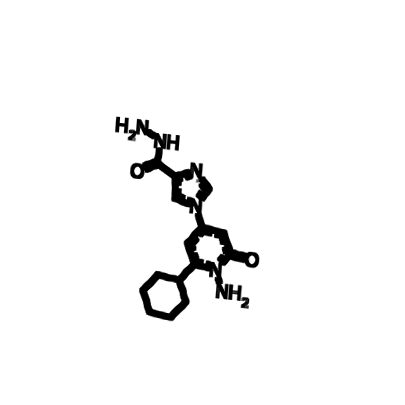 NNC(=O)c1cn(-c2cc(C3CCCCC3)n(N)c(=O)c2)cn1